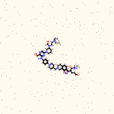 CNC(=O)C(CCC=O)c1noc2c3c(ccc12)CCN(CC1CCN(c2ccc(Nc4nc(N5CCCC(N(C=O)CCN(C)C)C5)cnc4C=O)cc2)CC1)C3